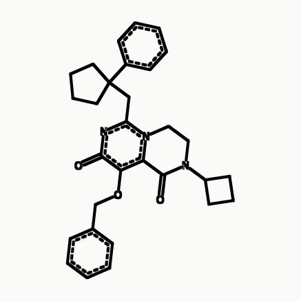 O=C1c2c(OCc3ccccc3)c(=O)nc(CC3(c4ccccc4)CCCC3)n2CCN1C1CCC1